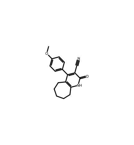 COc1ccc(-c2c3c([nH]c(=O)c2C#N)CCCCC3)cc1